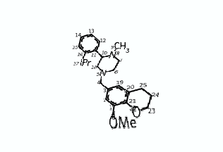 COc1cc(CN2CCN(C)C(c3ccccc3C(C)C)C2)cc2c1OCCC2